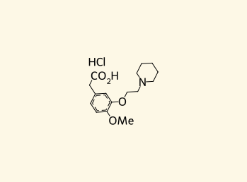 COc1ccc(CC(=O)O)cc1OCCN1CCCCC1.Cl